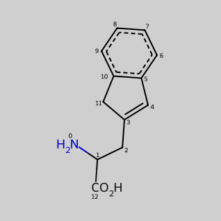 NC(CC1=Cc2ccccc2C1)C(=O)O